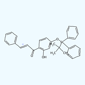 CC(C)(C)[Si](Oc1ccc(C(=O)/C=C/c2ccccc2)c(O)c1)(c1ccccc1)c1ccccc1